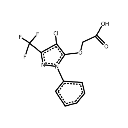 O=C(O)COc1c(Cl)c(C(F)(F)F)nn1-c1ccccc1